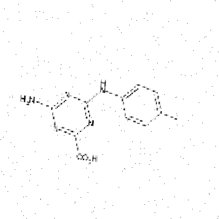 Nc1nc(Nc2ccc(I)cc2)nc(C(=O)O)n1